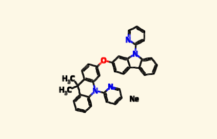 CC1(C)c2ccccc2N(c2ccccn2)c2cc(Oc3ccc4c5ccccc5n(-c5ccccn5)c4c3)ccc21.[Ne]